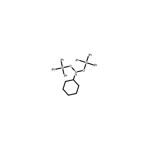 CC(C)[Si](O[SiH](O[Si](C(C)C)(C(C)C)C(C)C)C1CCCCC1)(C(C)C)C(C)C